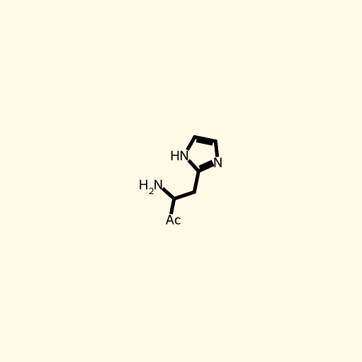 CC(=O)C(N)Cc1ncc[nH]1